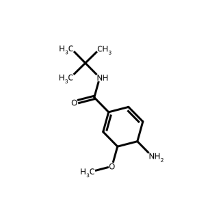 COC1C=C(C(=O)NC(C)(C)C)C=CC1N